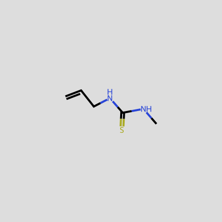 C=CCNC(=S)NC